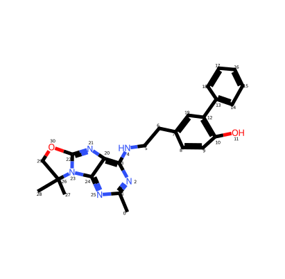 Cc1nc(NCCc2ccc(O)c(-c3ccccc3)c2)c2nc3n(c2n1)C(C)(C)CO3